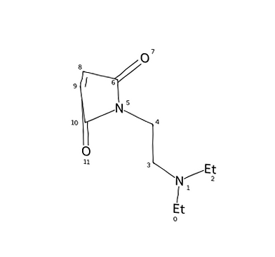 CCN(CC)CCN1C(=O)C=CC1=O